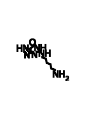 NCCCCCCNc1nc2nc[nH]c2c(=O)[nH]1